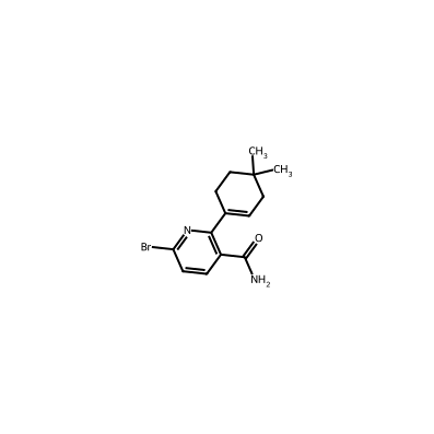 CC1(C)CC=C(c2nc(Br)ccc2C(N)=O)CC1